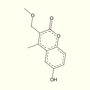 COCc1c(C)c2cc(O)ccc2oc1=O